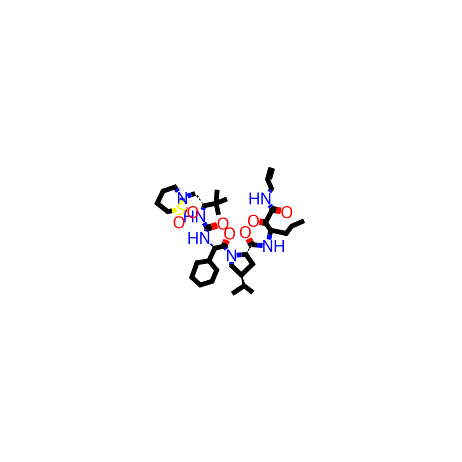 C=CCNC(=O)C(=O)C(CCC)NC(=O)[C@@H]1C[C@@H](C(C)C)CN1C(=O)[C@@H](NC(=O)N[C@H](CN1CCCCS1(=O)=O)C(C)(C)C)C1CCCCC1